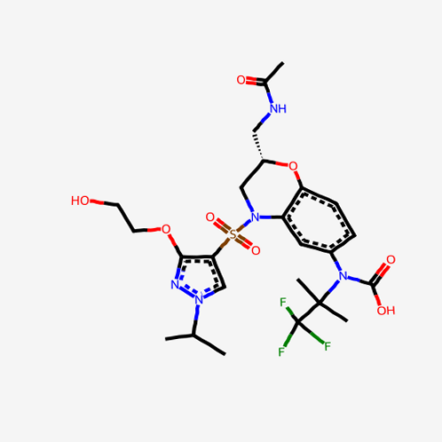 CC(=O)NC[C@H]1CN(S(=O)(=O)c2cn(C(C)C)nc2OCCO)c2cc(N(C(=O)O)C(C)(C)C(F)(F)F)ccc2O1